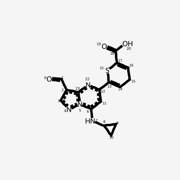 O=Cc1cnn2c(NC3CC3)cc(C3=CCC=C(C(=O)O)S3)nc12